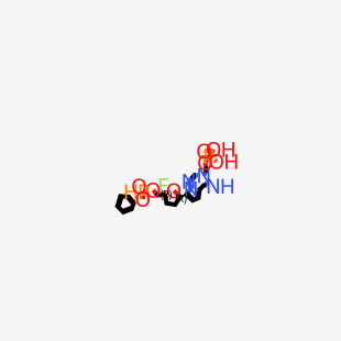 N=c1c2ccc([C@H]3CC[C@@](F)(CO[PH](=O)Oc4ccccc4)O3)n2ncn1COP(=O)(O)O